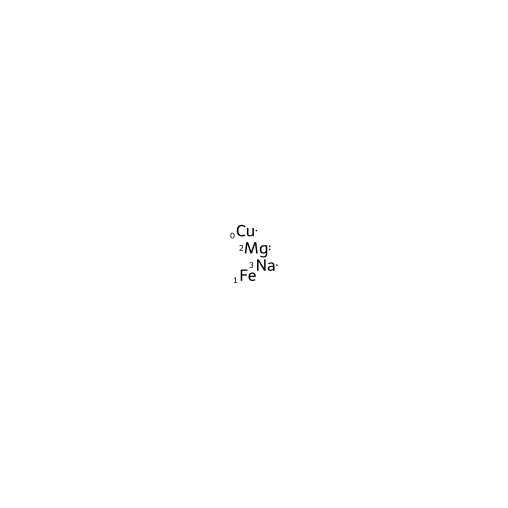 [Cu].[Fe].[Mg].[Na]